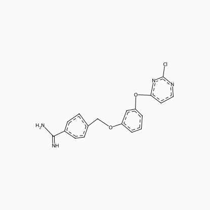 N=C(N)c1ccc(COc2cccc(Oc3ccnc(Cl)n3)c2)cc1